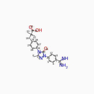 Cc1nn(-c2ccc(C(=N)N)cc2)c(=O)n1-c1ccc(CC(C)(C)C(=O)O)cc1